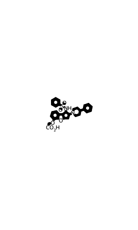 O=C(O)COc1cccc2c1OC1CC(N3CCC(c4ccccc4)CC3)C(NS(=O)(=O)c3ccccc3)C21